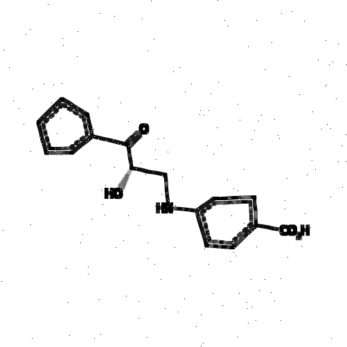 O=C(O)c1ccc(NC[C@H](O)C(=O)c2ccccc2)cc1